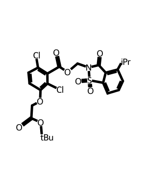 CC(C)c1cccc2c1C(=O)N(COC(=O)c1c(Cl)ccc(OCC(=O)OC(C)(C)C)c1Cl)S2(=O)=O